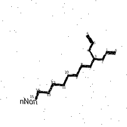 C=CC[C](CC=C)CCCCCCCCCCCCCCCCC